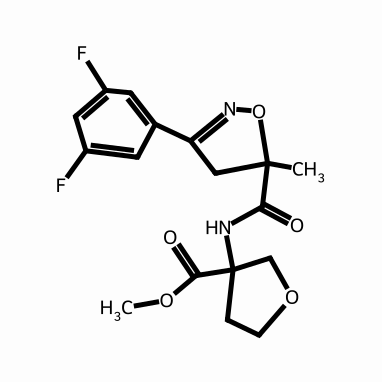 COC(=O)C1(NC(=O)C2(C)CC(c3cc(F)cc(F)c3)=NO2)CCOC1